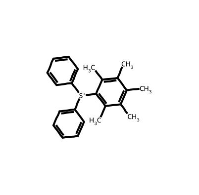 Cc1c(C)c(C)c([S+](c2ccccc2)c2ccccc2)c(C)c1C